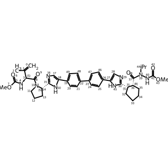 C=C(C)[C@H](NC(=O)OC)C(=O)N1CCC[C@H]1c1ncc(-c2ccc(-c3ccc(-c4cnc([C@H]5CCCC[C@H]5C(=O)N(NC(=O)OC)C(C)C)[nH]4)cc3)cc2)[nH]1